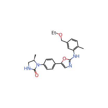 CCOCc1ccc(C)c(Nc2ncc(-c3ccc(N4C(=O)NC[C@H]4C)cc3)o2)c1